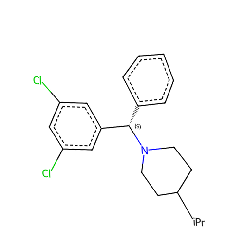 CC(C)C1CCN([C@@H](c2ccccc2)c2cc(Cl)cc(Cl)c2)CC1